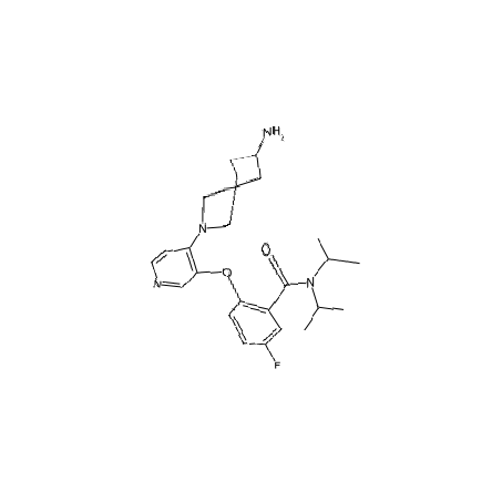 CC(C)N(C(=O)c1cc(F)ccc1Oc1cnccc1N1CC2(CC(N)C2)C1)C(C)C